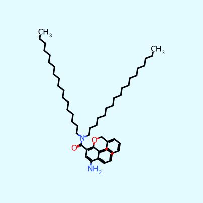 CCCCCCCCCCCCCCCCCCN(CCCCCCCCCCCCCCCCCC)C(=O)c1cc(N)c2ccccc2c1OCc1ccccc1